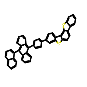 c1ccc2c(-c3c4ccccc4c(-c4ccc(-c5ccc6c(c5)sc5ccc7c8ccccc8sc7c56)cc4)c4ccccc34)cccc2c1